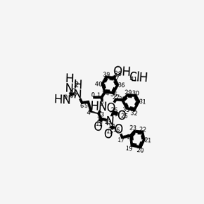 CC(N[C@H](CCCNC(=N)N)C(=O)N(C(=O)OCc1ccccc1)C(=O)OCc1ccccc1)c1ccc(O)cc1.Cl